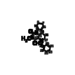 CC1C2c3c(c4ccccc4n3C(=O)N1C)CCN2Cc1ccccc1